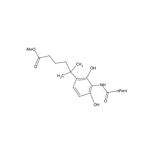 CCCCCC(=O)Nc1c(O)ccc(C(C)(C)CCCC(=O)OC)c1O